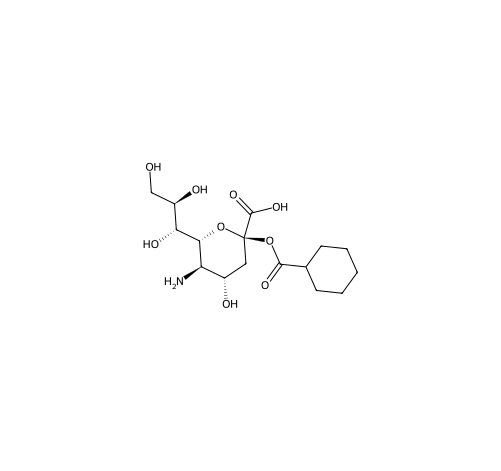 N[C@H]1[C@H]([C@H](O)[C@H](O)CO)O[C@](OC(=O)C2CCCCC2)(C(=O)O)C[C@@H]1O